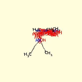 CCCCCCCCCCCCC/C=C/[C@@H](O)[C@H](CO[C@@H]1OC(CO)[C@@H](O[C@@H]2OC(CO)[C@H](O)[C@H](O[C@@H]3OC(CO)[C@@H](O[C@@H]4OC(CO)[C@H](O)[C@H](O[C@@H]5OC(CO)[C@@H](O[C@@H]6OC(CO)[C@H](O)[C@H](O[C@]7(C(=O)O)CC(O)[C@@H](NC(C)=O)C([C@H](O)[C@H](O)CO)O7)C6O)[C@H](O)C5NC(C)=O)C4O)[C@H](O)C3NC(C)=O)C2O)[C@H](O)C1O)NC(=O)CCCCCCCCCCCCCCCCCCC